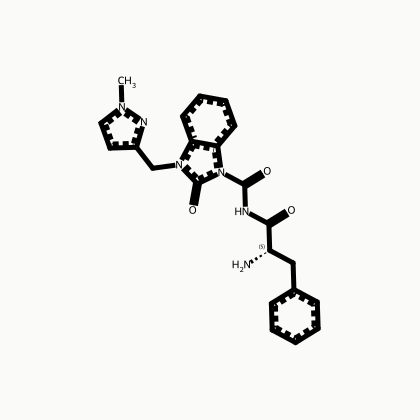 Cn1ccc(Cn2c(=O)n(C(=O)NC(=O)[C@@H](N)Cc3ccccc3)c3ccccc32)n1